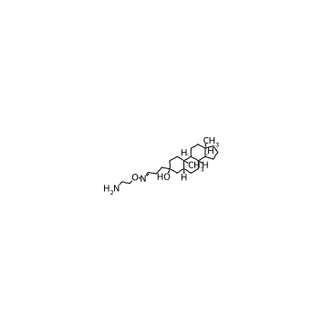 C[C@@]12CCC[C@H]1[C@@H]1CC[C@@H]3C[C@](O)(CCC=NOCCN)CC[C@]3(C)[C@H]1CC2